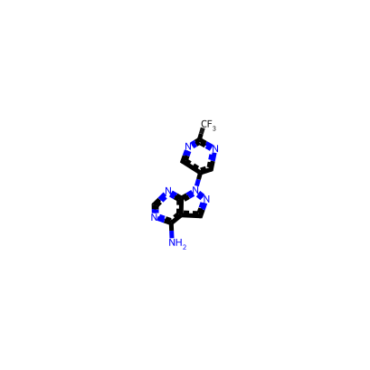 Nc1ncnc2c1cnn2-c1cnc(C(F)(F)F)nc1